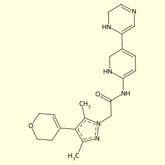 Cc1nn(CC(=O)NC2=CC=C(C3=CN=CCN3)CN2)c(C)c1C1=CCOCC1